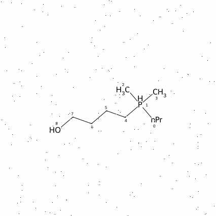 CCC[PH](C)(C)CCCCO